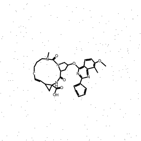 COc1ccc2c(OC3CC4C(=O)NC5(C(=O)O)CC5/C=C/CCCCN(C)C(=O)N4C3)nc(-c3ccccc3)nc2c1C